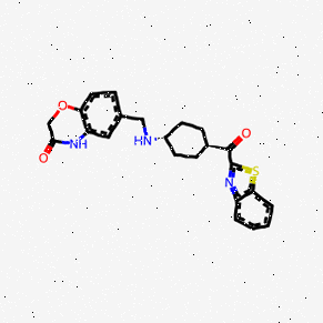 O=C1COc2ccc(CN[C@H]3CC[C@H](C(=O)c4nc5ccccc5s4)CC3)cc2N1